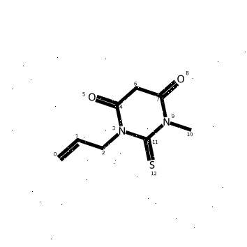 C=CCN1C(=O)CC(=O)N(C)C1=S